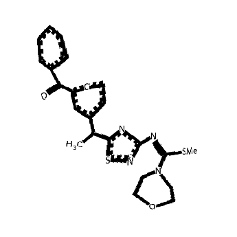 CSC(=Nc1nsc(C(C)c2cccc(C(=O)c3ccccc3)c2)n1)N1CCOCC1